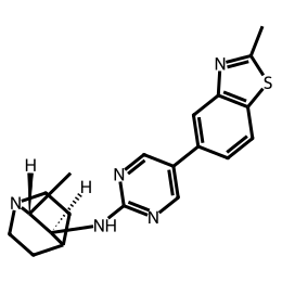 Cc1nc2cc(-c3cnc(N[C@H]4C5CCN(CC5)[C@@H]4C)nc3)ccc2s1